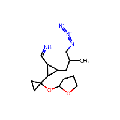 CC(CN=[N+]=[N-])CC1C(C=N)C1C1(OC2CCCO2)CC1